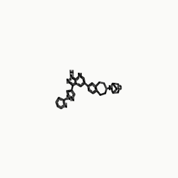 c1ccc(-n2cc(-c3n[nH]c4ncc(-c5ccc6c(c5)CC[C@@H](N5C7COCC5C7)CC6)cc34)cn2)nc1